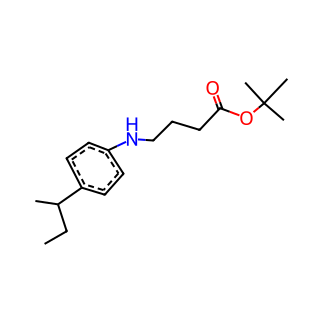 CCC(C)c1ccc(NCCCC(=O)OC(C)(C)C)cc1